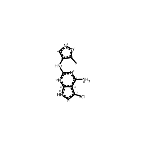 Cc1oncc1Nc1nc(N)c2c(Cl)c[nH]c2n1